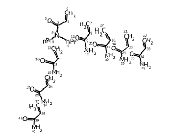 C=CC(=O)N(CCC)CCC.C=CC(N)=O.C=CC(N)=O.C=CC(N)=O.C=CC(N)=O.C=CC(N)=O.C=CC(N)=O.C=CC(N)=O